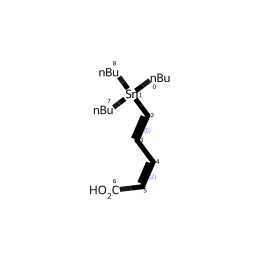 CCC[CH2][Sn](/[CH]=C/C=C\C(=O)O)([CH2]CCC)[CH2]CCC